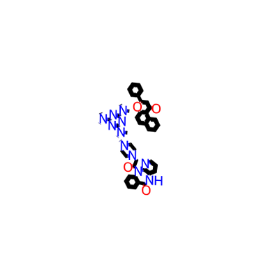 CN(C)c1nc(N(C)C)nc(N(C)C)n1.CN1CCN(CC(=O)N2c3ccccc3C(=O)Nc3cccnc32)CC1.O=c1cc(-c2ccccc2)oc2ccc3ccccc3c12